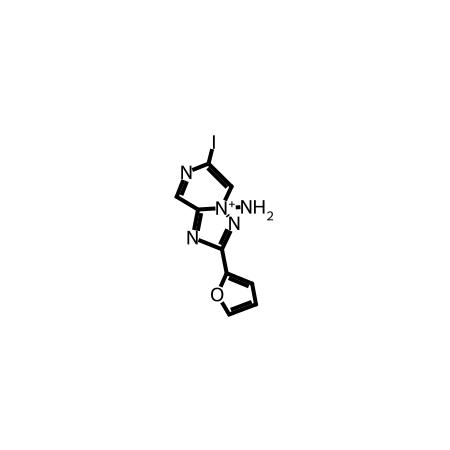 N[N+]12C=C(I)N=CC1=NC(c1ccco1)=N2